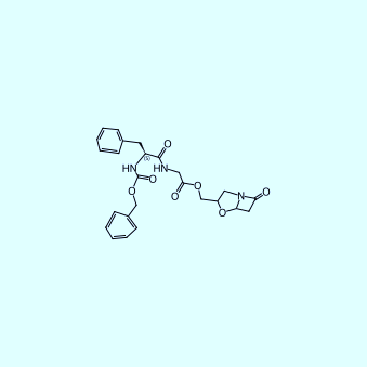 O=C(CNC(=O)[C@H](Cc1ccccc1)NC(=O)OCc1ccccc1)OCC1CN2C(=O)CC2O1